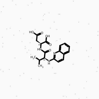 CC(C)[C@H](Nc1ccc2ccccc2n1)C(=O)N[C@@H](CC(=O)O)C(=O)O